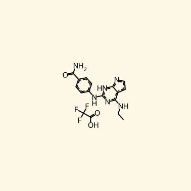 CCNc1nc(Nc2ccc(C(N)=O)cc2)[nH]c2nccc1-2.O=C(O)C(F)(F)F